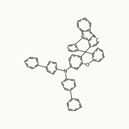 c1ccc(-c2ccc(N(c3ccc(-c4ccccc4)cc3)c3ccc4c(c3)Oc3ccccc3C43c4ccccc4-n4c5ccccc5c5cccc3c54)cc2)cc1